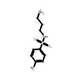 N#Cc1ccc(S(=O)(=O)NCCCN)cc1